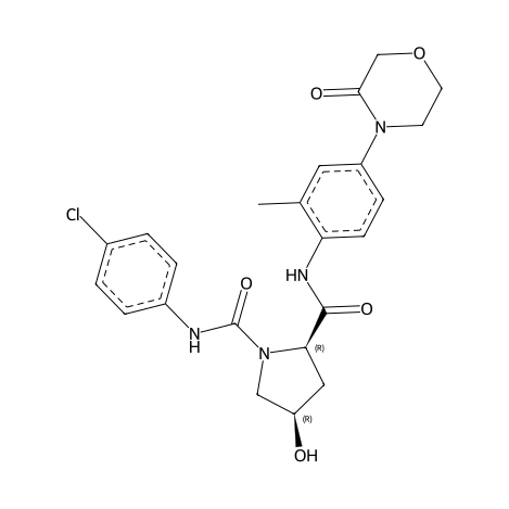 Cc1cc(N2CCOCC2=O)ccc1NC(=O)[C@H]1C[C@@H](O)CN1C(=O)Nc1ccc(Cl)cc1